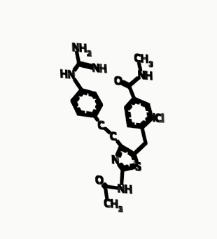 CNC(=O)c1ccc(Cc2sc(NC(C)=O)nc2CCc2ccc(NC(=N)N)cc2)cc1.Cl